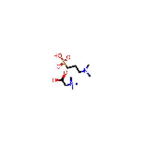 CN(C)CCCS(=O)(=O)O.C[N+](C)(C)CC(=O)[O-]